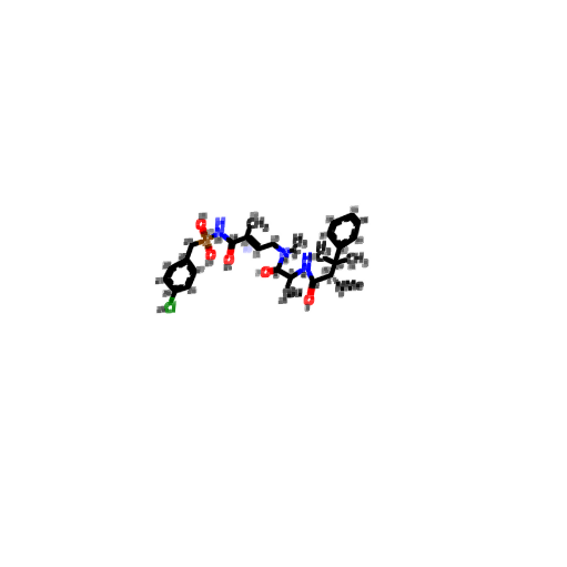 CN[C@H](C(=O)NC(C(=O)N(C)C/C=C(\C)C(=O)NS(=O)(=O)Cc1ccc(Cl)cc1)C(C)(C)C)C(C)(C)c1ccccc1